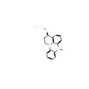 CC(=O)O/N=C1\CCN2c3ccccc3N(C)c3cccc1c32